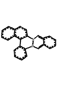 C1=c2ccccc2=CN2B1c1ccccc1-c1c2ccc2ccccc12